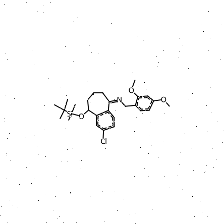 COc1ccc(C/N=C2/CCCC(O[Si](C)(C)C(C)(C)C)c3cc(Cl)ccc32)c(OC)c1